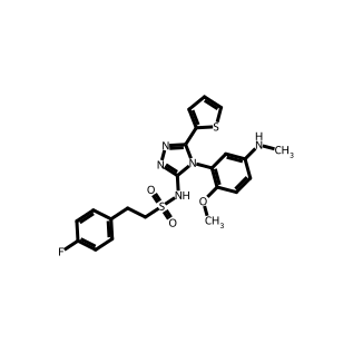 CNc1ccc(OC)c(-n2c(NS(=O)(=O)CCc3ccc(F)cc3)nnc2-c2cccs2)c1